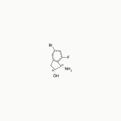 N[C@H]1c2c(F)cc(Br)cc2C[C@H]1O